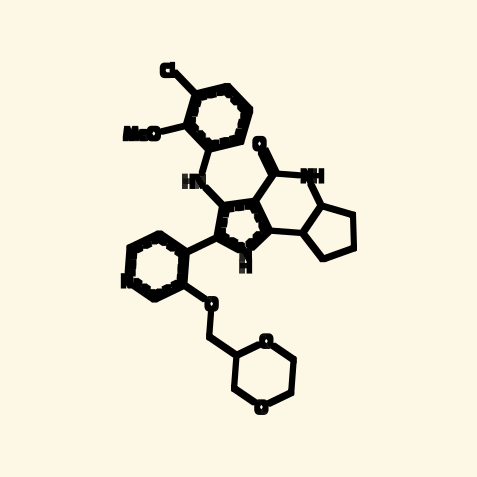 COc1c(Cl)cccc1Nc1c(-c2ccncc2OCC2COCCO2)[nH]c2c1C(=O)NC1CCCC21